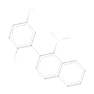 Nc1ccc(N)c(-c2ccc3ccccc3c2[N+](=O)[O-])c1